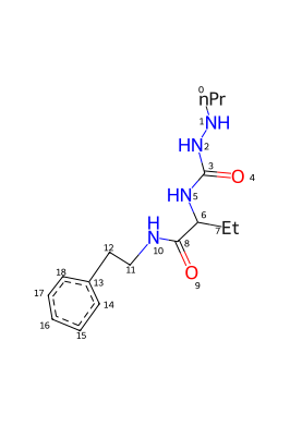 CCCNNC(=O)NC(CC)C(=O)NCCc1ccccc1